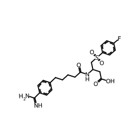 N=C(N)c1ccc(CCCCC(=O)NC(CC(=O)O)CS(=O)(=O)c2ccc(F)cc2)cc1